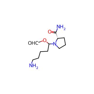 NCCCCC(OC=O)N1CCC[C@H]1C(N)=O